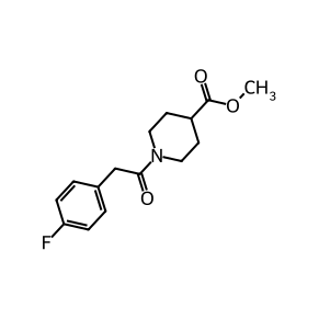 COC(=O)C1CCN(C(=O)Cc2ccc(F)cc2)CC1